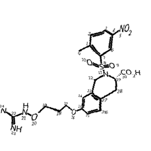 Cc1ccc([N+](=O)[O-])cc1S(=O)(=O)N1Cc2cc(OCCCONC(=N)N)ccc2C[C@H]1C(=O)O